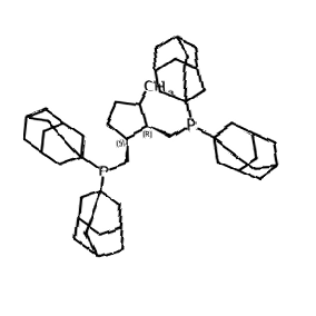 CC1CC[C@H](CP(C23CC4CC(CC(C4)C2)C3)C23CC4CC(CC(C4)C2)C3)[C@@H]1CP(C12CC3CC(CC(C3)C1)C2)C12CC3CC(CC(C3)C1)C2